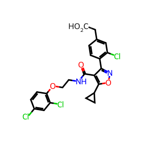 O=C(O)Cc1ccc(-c2noc(C3CC3)c2C(=O)NCCOc2ccc(Cl)cc2Cl)c(Cl)c1